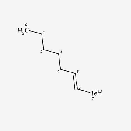 CCCCCC=C[TeH]